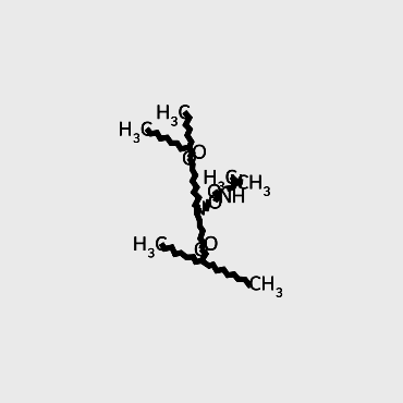 CCCCCCCCCCC(CCCCCCCC)COC(=O)CCCCCN(CCCCCCCCOC(=O)C(CCCCCC)CCCCCCCC)CCOC(=O)NCCN(C)C